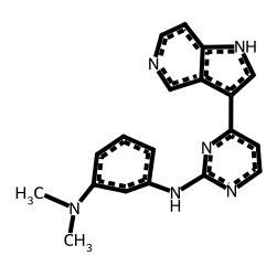 CN(C)c1cccc(Nc2nccc(-c3c[nH]c4ccncc34)n2)c1